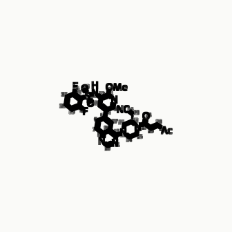 COc1ncc(-c2ccc3ncnc(N4CCN(C(=O)/C=C/C(C)=O)[C@@H](CC#N)C4)c3c2)cc1NS(=O)(=O)c1c(F)cccc1F